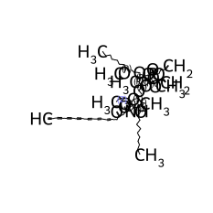 C#CC#CC#CC#CC#CC#CC#CCC(=O)CC(=O)NC1[C@@H](O/C=C\C)O[C@H](CO[C@@H]2O[C@H](COC)[C@@H](OP(=O)(OCC=C)OCC=C)[C@H](OCC[C@@H](CCCCCCC)OC)[C@H]2C)[C@@H](C)[C@@H]1OCCCCCCCCCC